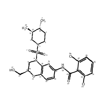 C[C@@H]1CCN(S(=O)(=O)N2C[C@H](CO)Oc3ccc(NC(=O)c4c(Cl)cccc4Cl)nc32)C[C@H]1C